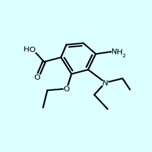 CCOc1c(C(=O)O)ccc(N)c1N(CC)CC